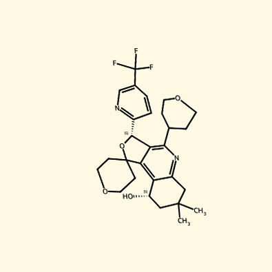 CC1(C)Cc2nc(C3CCOCC3)c3c(c2[C@@H](O)C1)C1(CCOCC1)O[C@@H]3c1ccc(C(F)(F)F)cn1